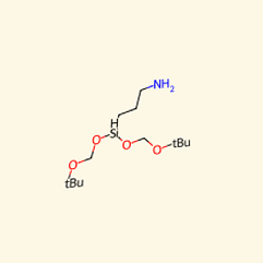 CC(C)(C)OCO[SiH](CCCN)OCOC(C)(C)C